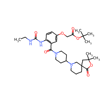 CCNC(=O)Nc1ccc(OCC(=O)OC(C)(C)C)cc1C(=O)N1CCC(N2CCCC3(C2)CC(C)(C)OC3=O)CC1